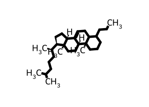 CCCC1CCC[C@@]2(C)C1CC=C1[C@@H]3CC[C@H]([C@H](C)CCCC(C)C)[C@@]3(C)CC[C@@H]12